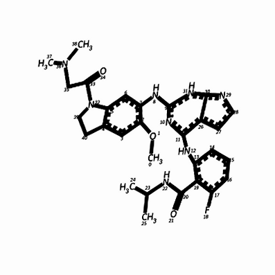 COc1cc2c(cc1Nc1nc(Nc3cccc(F)c3C(=O)NC(C)C)c3ccnc-3[nH]1)N(C(=O)CN(C)C)CC2